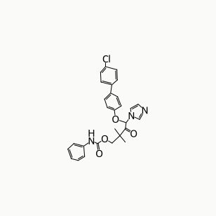 CC(C)(COC(=O)Nc1ccccc1)C(=O)C(Oc1ccc(-c2ccc(Cl)cc2)cc1)n1ccnc1